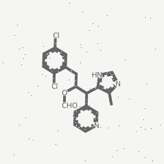 Cc1nc[nH]c1C(c1cccnc1)C(Cc1cc(Cl)ccc1Cl)OC=O